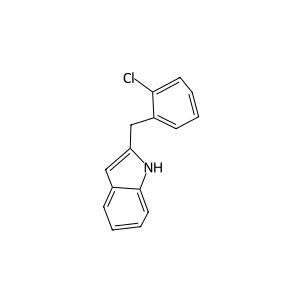 Clc1ccccc1Cc1cc2ccccc2[nH]1